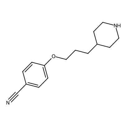 N#Cc1ccc(OCCCC2CCNCC2)cc1